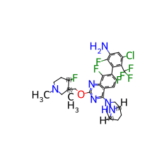 CN1CC[C@@H](F)[C@@](C)(COc2nc(N3C[C@H]4CC[C@@H](C3)N4)c3cc(F)c(-c4c(F)c(N)cc(Cl)c4C(F)(F)F)c(F)c3n2)C1